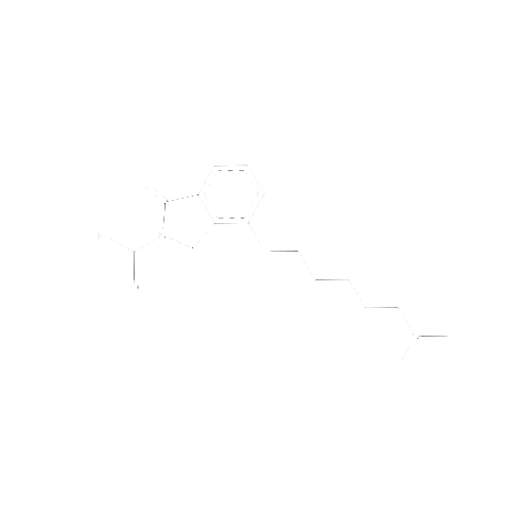 CCCC(C=O)N1Cc2c(SCCCCCN(C)C)cccc2C1=O